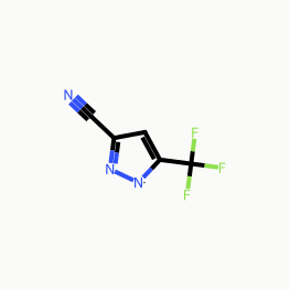 N#CC1=N[N]C(C(F)(F)F)=C1